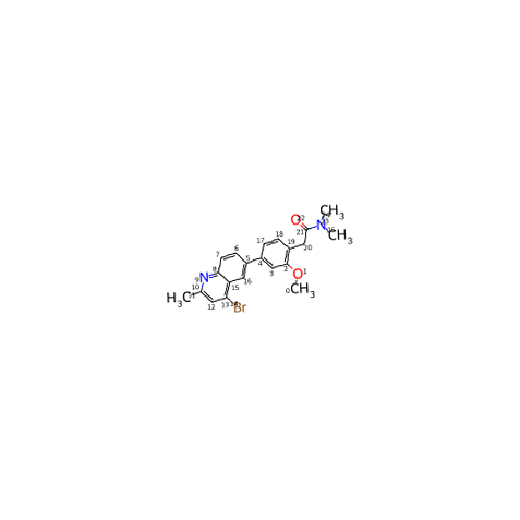 COc1cc(-c2ccc3nc(C)cc(Br)c3c2)ccc1CC(=O)N(C)C